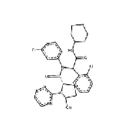 O=C(NC1CCCCC1)[C@@H](c1ccccc1Cl)N(C(=O)[C@@H]1CCC(O)N1c1ncccn1)c1cccc(F)c1